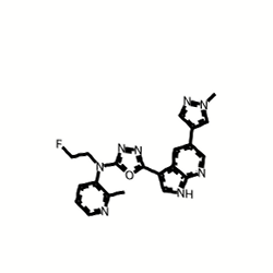 Cc1ncccc1N(CCF)c1nnc(-c2c[nH]c3ncc(-c4cnn(C)c4)cc23)o1